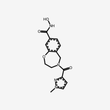 Cn1ccc(C(=O)N2CCOc3cc(C(=O)NO)ccc3C2)n1